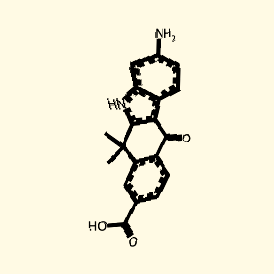 CC1(C)c2cc(C(=O)O)ccc2C(=O)c2c1[nH]c1cc(N)ccc21